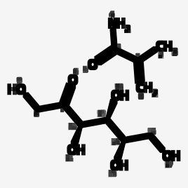 C=C(C)C(N)=O.O=C(CO)[C@H](O)[C@@H](O)[C@H](O)CO